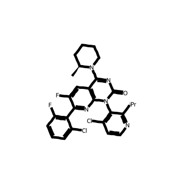 CC(C)c1nccc(Cl)c1-n1c(=O)nc(N2CCCC[C@@H]2C)c2cc(F)c(-c3c(F)cccc3Cl)nc21